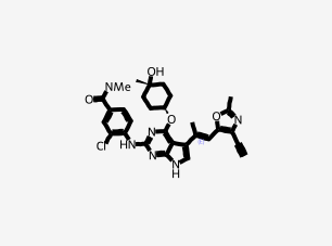 C#Cc1nc(C)oc1/C=C(\C)c1c[nH]c2nc(Nc3ccc(C(=O)NC)cc3Cl)nc(O[C@H]3CC[C@@](C)(O)CC3)c12